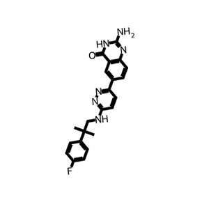 CC(C)(CNc1ccc(-c2ccc3nc(N)[nH]c(=O)c3c2)nn1)c1ccc(F)cc1